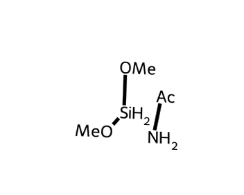 CC(N)=O.CO[SiH2]OC